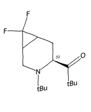 CC(C)(C)C(=O)[C@@H]1CC2C(CN1C(C)(C)C)C2(F)F